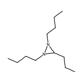 CCCCN1C(CCC)N1CCCC